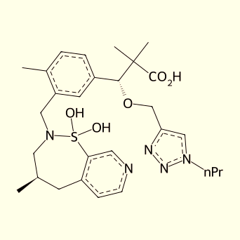 CCCn1cc(CO[C@H](c2ccc(C)c(CN3C[C@H](C)Cc4ccncc4S3(O)O)c2)C(C)(C)C(=O)O)nn1